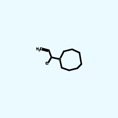 C=CC(Cl)N1CCCCCCC1